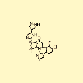 C[C@@H]1C[C@H](c2ncc(-c3cn[nH]c3)[nH]2)n2c1nc(-c1c(-n3cnnn3)ccc(Cl)c1F)cc2=O